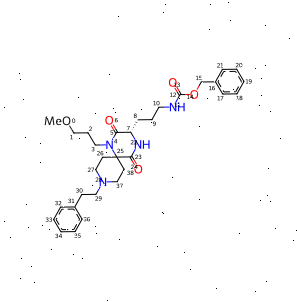 COCCCN1C(=O)[C@H](CCCNC(=O)OCc2ccccc2)NC(=O)C12CCN(CCc1ccccc1)CC2